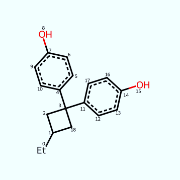 CCC1CC(c2ccc(O)cc2)(c2ccc(O)cc2)C1